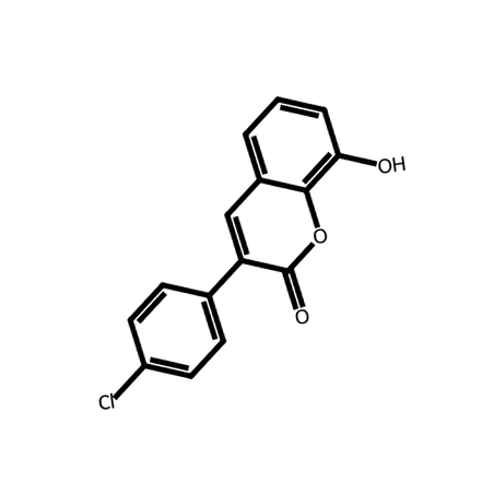 O=c1oc2c(O)cccc2cc1-c1ccc(Cl)cc1